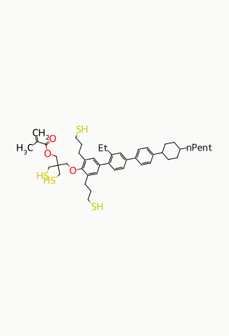 C=C(C)C(=O)OCC(CS)(CS)COc1c(CCCS)cc(-c2ccc(-c3ccc(C4CCC(CCCCC)CC4)cc3)cc2CC)cc1CCCS